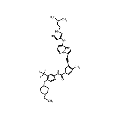 CCN1CCN(Cc2ccc(NC(=O)c3ccc(C)c(C#Cc4cnc5c(N/C(C=N)=C/NCCN(C)C)cccn45)c3)cc2C(F)(F)F)CC1